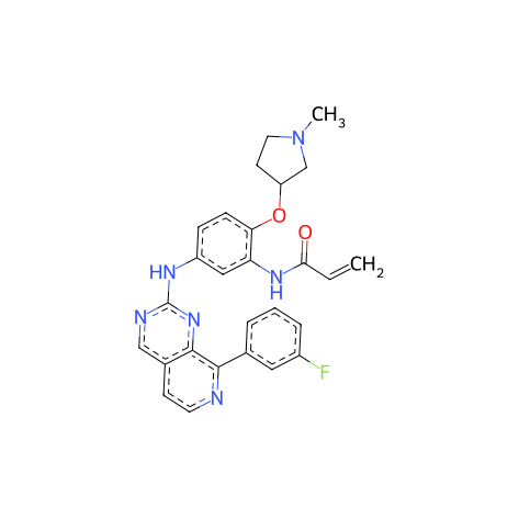 C=CC(=O)Nc1cc(Nc2ncc3ccnc(-c4cccc(F)c4)c3n2)ccc1OC1CCN(C)C1